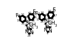 C[Si](Cn1cncn1)(c1ccc(F)cc1)c1ccc(F)cc1.C[Si](Cn1cncn1)(c1ccc(F)cc1)c1ccc(F)cc1